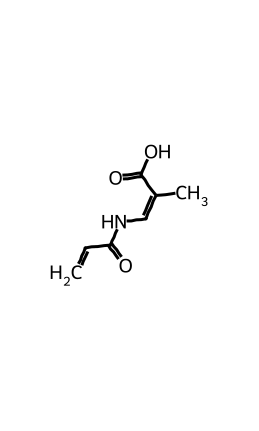 C=CC(=O)NC=C(C)C(=O)O